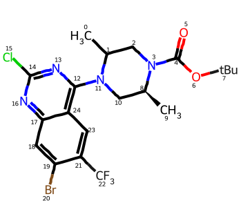 CC1CN(C(=O)OC(C)(C)C)[C@@H](C)CN1c1nc(Cl)nc2cc(Br)c(C(F)(F)F)cc12